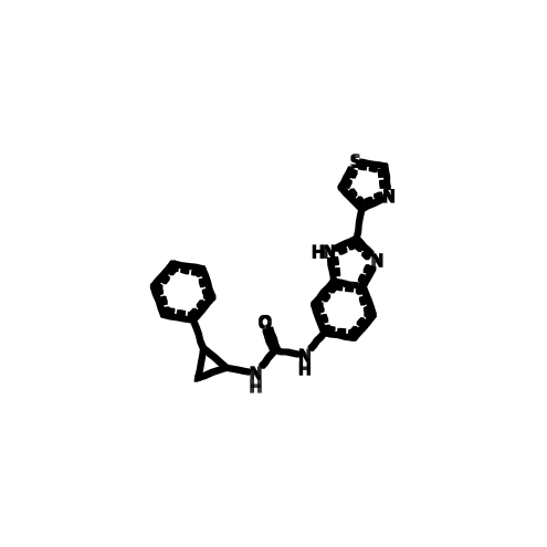 O=C(Nc1ccc2nc(-c3cscn3)[nH]c2c1)NC1CC1c1ccccc1